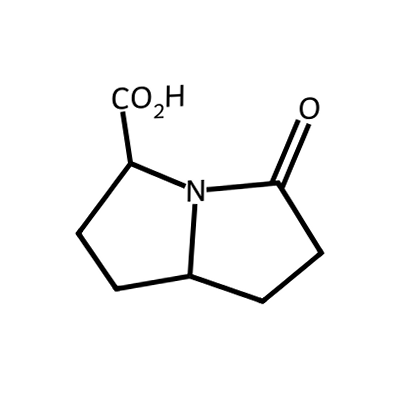 O=C(O)C1CCC2CCC(=O)N21